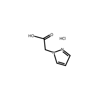 Cl.O=C(O)Cn1cccn1